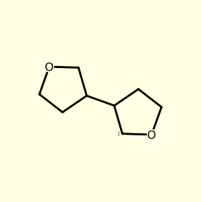 [C]1OCCC1C1CCOC1